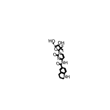 O=C(Nc1ccn(C2O[C@H](CO)[C@@H](O)C2(F)I)c(=O)n1)c1ccc2c(c1)CCCN2